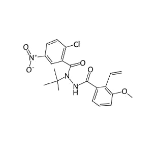 C=Cc1c(OC)cccc1C(=O)NN(C(=O)c1cc([N+](=O)[O-])ccc1Cl)C(C)(C)C